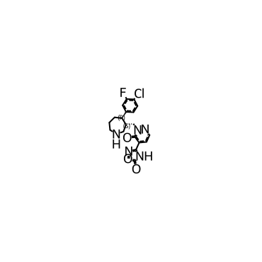 O=c1[nH]c(-c2ccnn(C[C@@H]3CNCCC[C@H]3c3ccc(Cl)c(F)c3)c2=O)no1